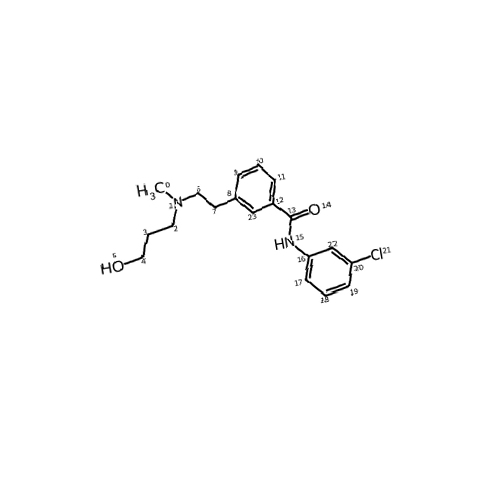 CN(CCCO)CCc1cccc(C(=O)Nc2cccc(Cl)c2)c1